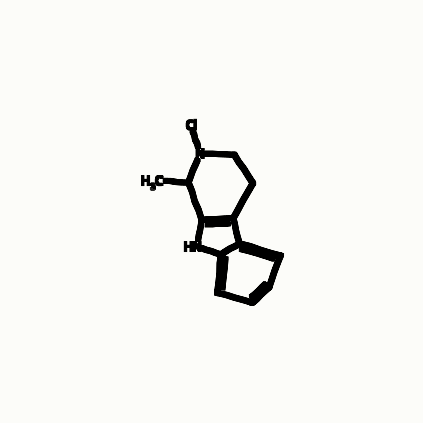 CC1c2[nH]c3ccccc3c2CCN1Cl